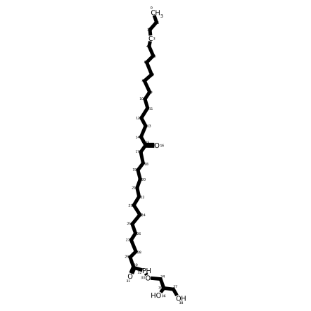 CCCCCCCCCCCCCCCC(=O)CCCCCCCCCCCCCC(=O)POCC(O)CO